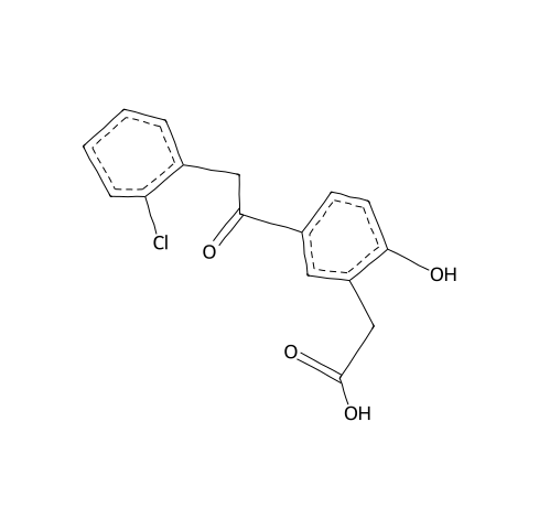 O=C(O)Cc1cc(C(=O)Cc2ccccc2Cl)ccc1O